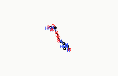 Cc1noc(C)c1-c1ccc2nc(-c3ccc(N4CCN(C(=O)CCOCCOCCOCCNc5cccc6c5C(=O)N(C5CCC(=O)NC5=O)C6=O)CC4)cc3)c(NC3CCCCC3)n2c1